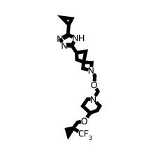 FC(F)(F)C1(COC2CCN(COCN3CC4(CC(c5nnc(C6CC6)[nH]5)C4)C3)CC2)CC1